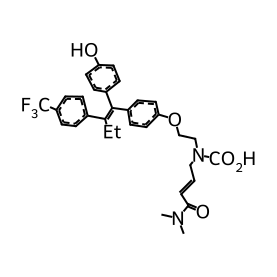 CCC(=C(c1ccc(O)cc1)c1ccc(OCCN(CC=CC(=O)N(C)C)C(=O)O)cc1)c1ccc(C(F)(F)F)cc1